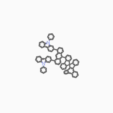 c1ccc(-n2c3ccccc3c3ccc(-c4cccc5c(-c6cccc7c6-c6ccccc6C76c7ccccc7-c7c6c6ccccc6c6ccccc76)c6cccc(-c7ccc8c9ccccc9n(-c9ccccc9)c8c7)c6cc45)cc32)cc1